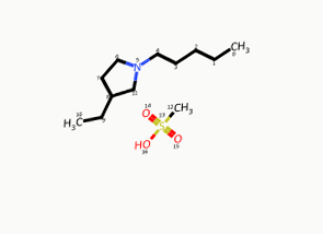 CCCCCN1CCC(CC)C1.CS(=O)(=O)O